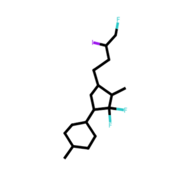 CC1CCC(C2CC(CCC(I)CF)C(C)C2(F)F)CC1